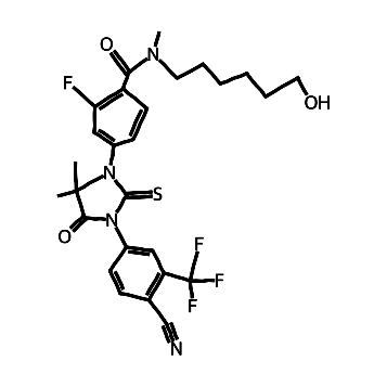 CN(CCCCCCO)C(=O)c1ccc(N2C(=S)N(c3ccc(C#N)c(C(F)(F)F)c3)C(=O)C2(C)C)cc1F